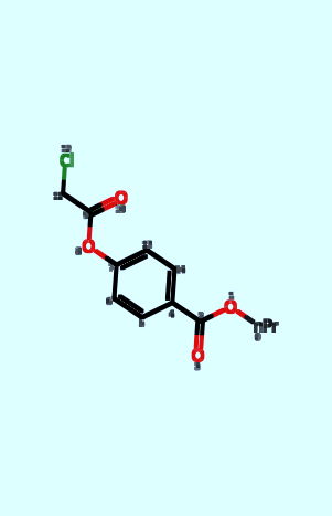 CCCOC(=O)c1ccc(OC(=O)CCl)cc1